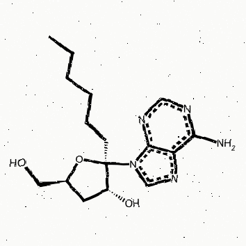 CCCCCC[C@@]1(n2cnc3c(N)ncnc32)O[C@H](CO)C[C@H]1O